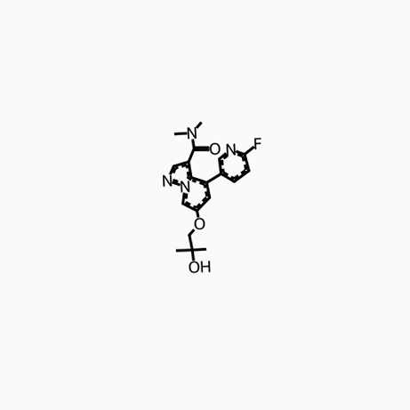 CN(C)C(=O)c1cnn2cc(OCC(C)(C)O)cc(-c3ccc(F)nc3)c12